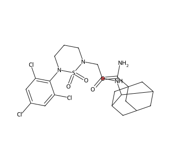 NC(=O)C12CC3CC(C1)C(NC(=O)CN1CCCN(c4c(Cl)cc(Cl)cc4Cl)S1(=O)=O)C(C3)C2